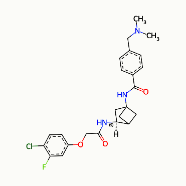 CN(C)Cc1ccc(C(=O)NC23CC(C2)[C@@H](NC(=O)COc2ccc(Cl)c(F)c2)C3)cc1